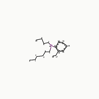 CCCCCCP(CCCC)c1ccccc1CC